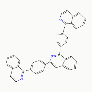 c1ccc2c(-c3ccc(-c4cc5ccccc5c(-c5ccc(-c6nccc7ccccc67)cc5)n4)cc3)nccc2c1